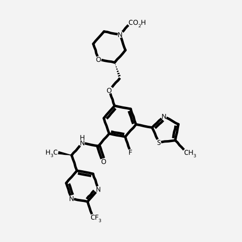 Cc1cnc(-c2cc(OC[C@H]3CN(C(=O)O)CCO3)cc(C(=O)N[C@H](C)c3cnc(C(F)(F)F)nc3)c2F)s1